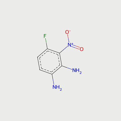 Nc1ccc(F)c([N+](=O)[O-])c1N